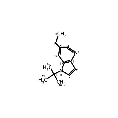 CCc1cnc2ccn(C(C)(C)C)c2c1